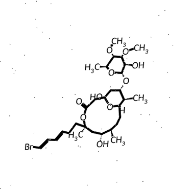 CO[C@@H]1[C@@H](OC)[C@@H](O)[C@H](O[C@H]2C[C@@]3(O)CC(=O)O[C@](C)(CC/C=C/C=C/Br)C[C@@H](O)[C@H](C)CC[C@H](O3)[C@@H]2C)O[C@H]1C